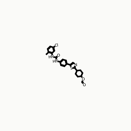 Cc1ccc(Cl)cc1NC(=O)Nc1ccc(-c2cnc(C3CCC(OC=O)CC3)s2)cc1